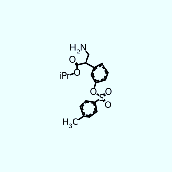 Cc1ccc(S(=O)(=O)Oc2cccc(C(CN)C(=O)OC(C)C)c2)cc1